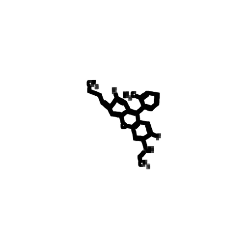 Cc1ccccc1C1=c2cc(F)/c(=C\CCC(F)(F)F)cc2Oc2cc(NCC(F)(F)F)c(F)cc21